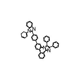 C1=CCCC(n2c(-c3ccc(-c4ccc5c6ccccc6c6nc(-c7ccccc7)c(-c7ccccc7)n6c5c4)cc3)nc3ccccc32)=C1